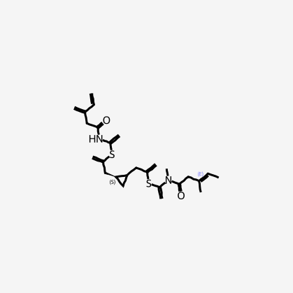 C=CC(=C)CC(=O)NC(=C)SC(=C)C[C@@H]1CC1CC(=C)SC(=C)N(C)C(=O)C/C(C)=C/C